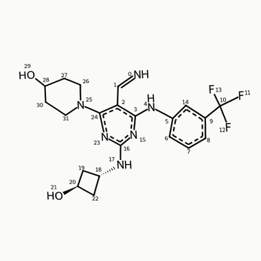 N=Cc1c(Nc2cccc(C(F)(F)F)c2)nc(N[C@H]2C[C@H](O)C2)nc1N1CCC(O)CC1